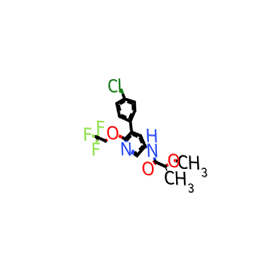 CO[C@H](C)C(=O)Nc1cnc(OCC(F)(F)F)c(-c2ccc(Cl)cc2)c1